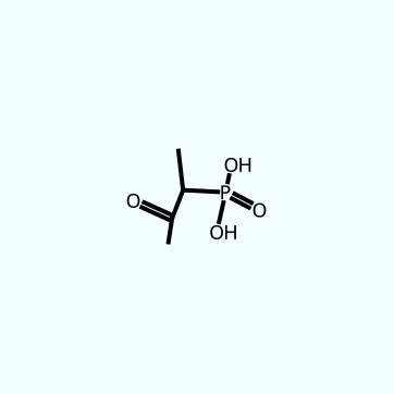 CC(=O)C(C)P(=O)(O)O